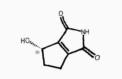 O=C1NC(=O)C2=C1CC[C@@H]2O